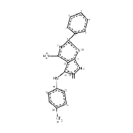 Nc1nc(-c2ccccc2)nc2n[nH]c(Nc3ccc(C(F)(F)F)cc3)c12